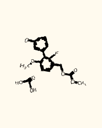 COC(=O)OCc1ccc(OC)c(-c2cccc(Cl)c2)c1F.O=C(O)O